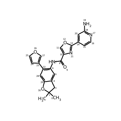 CC1(C)Cc2cc(NC(=O)c3coc(-c4ccnc(N)c4)n3)c(-c3ccoc3)cc2O1